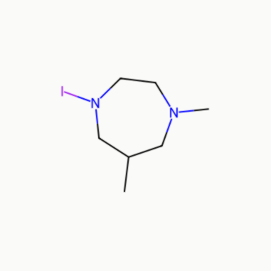 CC1CN(C)CCN(I)C1